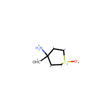 NC1(C=O)CC[S+]([O-])CC1